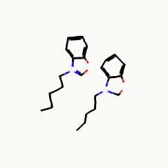 CCCCCN1COc2ccccc21.CCCCC[n+]1coc2ccccc21